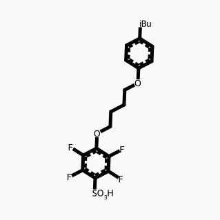 CCC(C)c1ccc(OCCCCOc2c(F)c(F)c(S(=O)(=O)O)c(F)c2F)cc1